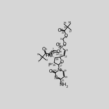 CC(C)(C)C(=O)OCOP(=O)(/C=C\[C@@]1(CCl)OC(n2ccc(N)nc2=O)[C@H](F)[C@@H]1O)OCOC(=O)C(C)(C)C